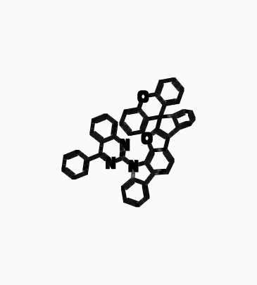 c1ccc(-c2nc(-n3c4ccccc4c4ccc5c6c(oc5c43)C3(c4ccccc4Oc4ccccc43)c3ccccc3-6)nc3ccccc23)cc1